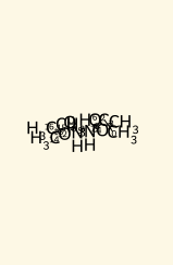 CC(C)(C)OC(=O)NCNC(=O)OC(C)(C)C